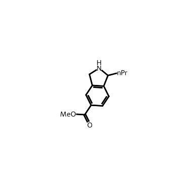 CCCC1NCc2cc(C(=O)OC)ccc21